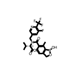 Cc1c(C(=O)N(Cc2cnc(C(F)(F)F)c(F)c2)[C@H](C(=O)O)C(C)C)ccc2c1B(O)OC2